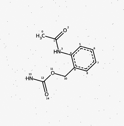 CC(=O)Nc1ccccc1COC([NH])=O